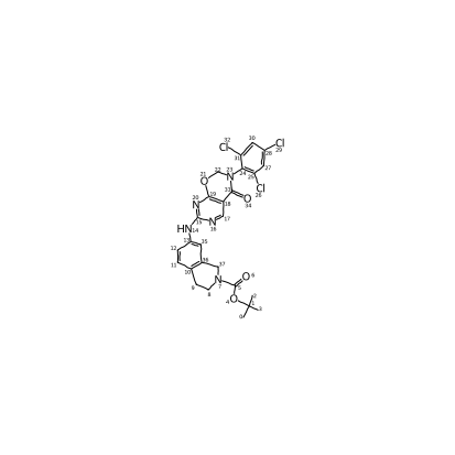 CC(C)(C)OC(=O)N1CCc2ccc(Nc3ncc4c(n3)OCN(c3c(Cl)cc(Cl)cc3Cl)C4=O)cc2C1